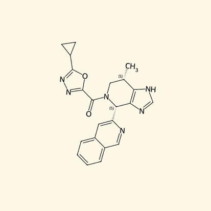 C[C@H]1CN(C(=O)c2nnc(C3CC3)o2)[C@@H](c2cc3ccccc3cn2)c2nc[nH]c21